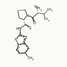 Cc1ccc2nc(NC(=O)[C@@H]3CCCN3C(=O)[C@H](N)C(C)C)sc2c1